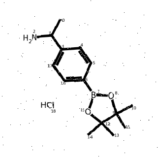 CC(N)c1ccc(B2OC(C)(C)C(C)(C)O2)cc1.Cl